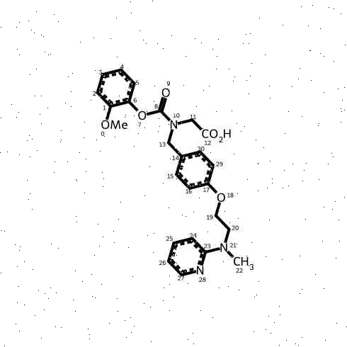 COc1ccccc1OC(=O)N(CC(=O)O)Cc1ccc(OCCN(C)c2ccccn2)cc1